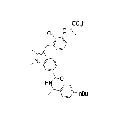 CCCCc1ccc([C@H](C)NC(=O)c2ccc3c(Cc4cccc(O[C@@H](C)C(=O)O)c4Cl)c(C)n(C)c3c2)cc1